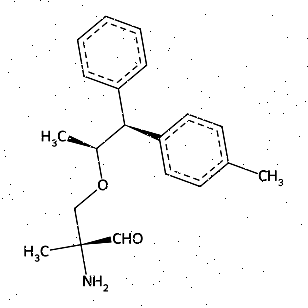 Cc1ccc([C@H](c2ccccc2)[C@H](C)OC[C@@](C)(N)C=O)cc1